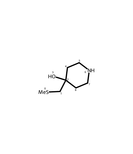 CSCC1(O)CCNCC1